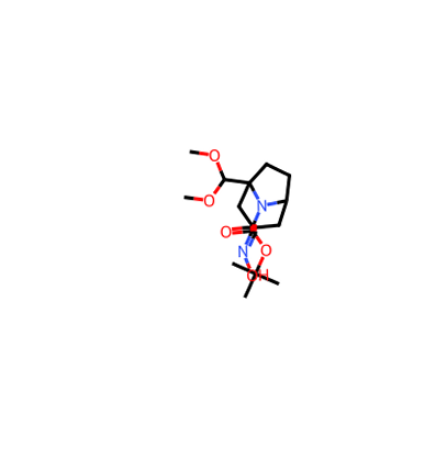 COC(OC)C12CCC(C/C(=N\O)C1)N2C(=O)OC(C)(C)C